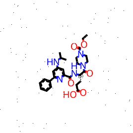 CCOC(=O)N1CCN(C(=O)[C@H](CCC(=O)O)NC(=O)c2cc(NC(C)C)cc(-c3ccccc3)n2)CC1